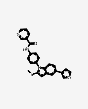 CSc1cc2cc(-c3ccoc3)ccc2n1-c1ccc(NC(=O)c2cccnc2)cc1